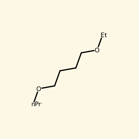 CC[CH]OCCCCOCC